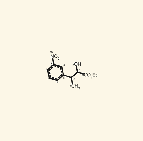 CCOC(=O)C(O)C(C)c1cccc([N+](=O)[O-])c1